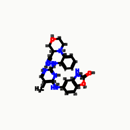 Cc1cnc(Nc2ccccc2N2CCOCC2C#N)nc1Nc1ccc2oc(=O)[nH]c2c1